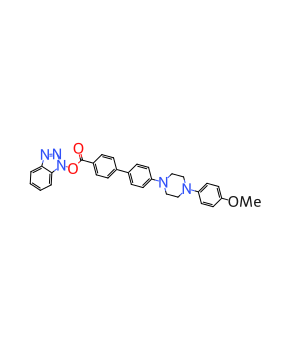 COc1ccc(N2CCN(c3ccc(-c4ccc(C(=O)On5nnc6ccccc65)cc4)cc3)CC2)cc1